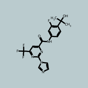 CC(C)(O)c1ccc(NC(=O)c2cc(C(F)(F)F)nc(-n3ccnc3)n2)cc1F